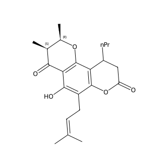 CCCC1CC(=O)Oc2c(CC=C(C)C)c(O)c3c(c21)O[C@H](C)[C@H](C)C3=O